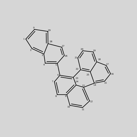 c1ccc2cc(-c3ccc4cccc5c6cccc7cccc(c3c45)c76)ccc2c1